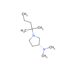 CCCC(C)(C)N1CC[C@@H](N(C)C)C1